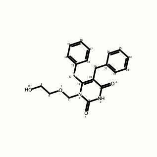 O=c1[nH]c(=O)n(COCCO)c(Sc2ccccc2)c1Cc1ccccc1